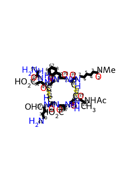 CNC(=O)CCCCCNC(=O)C1CSSCC(NC(=O)C(C)NC(C)=O)C(=O)NC(CC(=O)O)C(=O)NC(C(=O)N[C@H](C=O)CCCN)CSSCC(NC(=O)C(CC(=O)O)NC(=O)CN)C(=O)NC(Cc2ccccc2)C(=O)N1